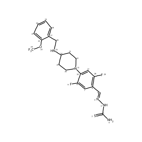 NC(=S)N/N=C/c1cc(F)c(N2CCC(NCc3ccccc3OC(F)(F)F)CC2)cc1F